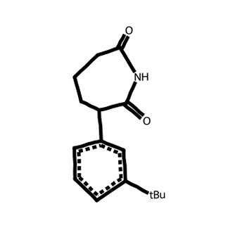 CC(C)(C)c1cccc(C2CCCC(=O)NC2=O)c1